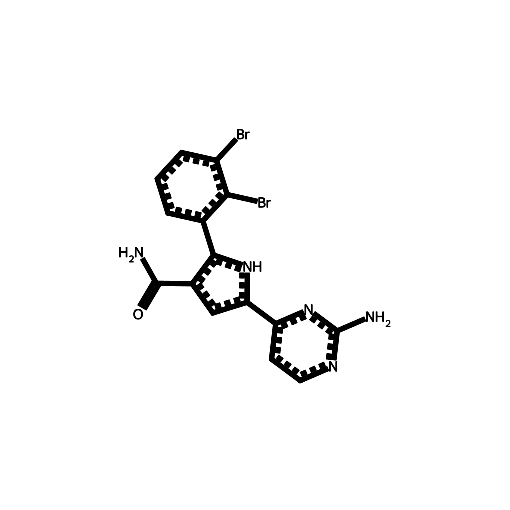 NC(=O)c1cc(-c2ccnc(N)n2)[nH]c1-c1cccc(Br)c1Br